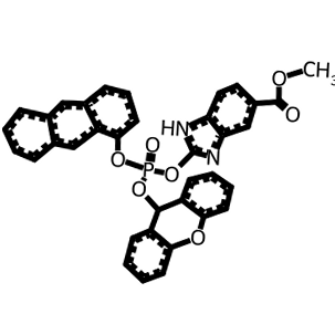 COC(=O)c1ccc2[nH]c(OP(=O)(Oc3cccc4cc5ccccc5cc34)OC3c4ccccc4Oc4ccccc43)nc2c1